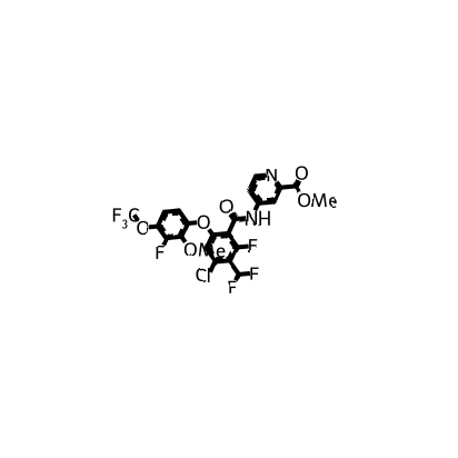 COC(=O)c1cc(NC(=O)c2c(Oc3ccc(OC(F)(F)F)c(F)c3OC)cc(Cl)c(C(F)F)c2F)ccn1